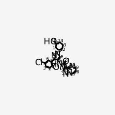 COc1ccc(Cl)cc1-c1nn(C2CCCC(O)C2)cc1NC(=O)c1cnn2cccnc12